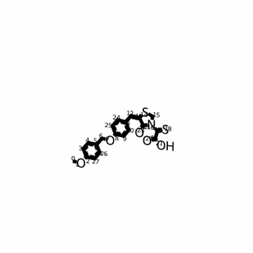 COc1ccc(COc2ccc(C=C3SCN(C(=S)C(=O)O)C3=O)cc2)cc1